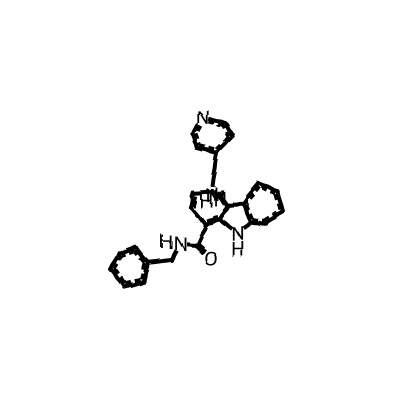 O=C(NCc1ccccc1)C1=C2Nc3ccccc3C23NCN(c2ccncc2)C3C=C1